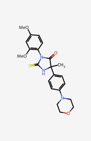 COc1ccc(N2C(=O)C(C)(c3ccc(N4CCOCC4)cc3)NC2=S)c(OC)c1